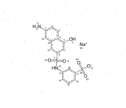 Nc1ccc2c(O)cc(S(=O)(=O)Nc3cccc(S(=O)(=O)[O-])c3)cc2c1.[Na+]